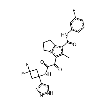 Cc1c(C(=O)Nc2cccc(F)c2)c2n(c1C(=O)C(=O)NC1(c3c[nH]nn3)CC(F)(F)C1)CCC2